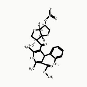 COC(=O)C1=C(C)NC(C)=C(C(=O)[C@@]2(O)CO[C@@H]3[C@@H](O[N+](=O)[O-])CO[C@@H]32)C1c1ccccc1C